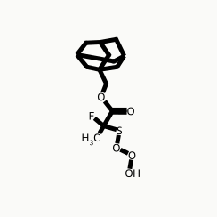 CC(F)(SOOO)C(=O)OCC12CC3CC(CC(C3)C1)C2